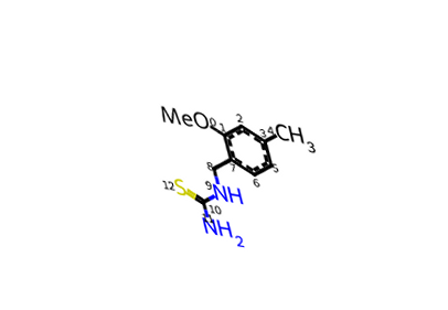 COc1cc(C)ccc1CNC(N)=S